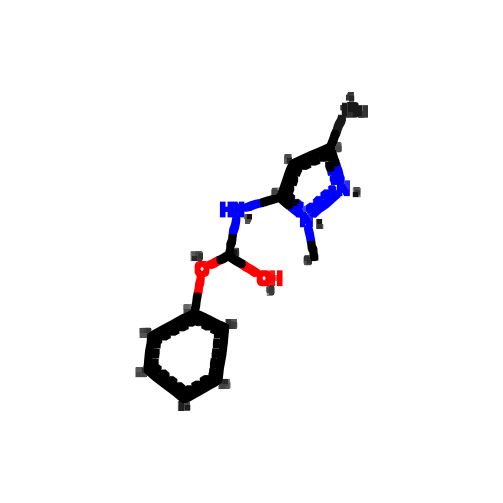 Cn1nc(C(C)(C)C)cc1NC(O)Oc1ccccc1